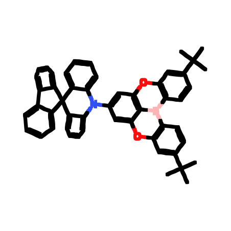 CC(C)(C)c1ccc2c(c1)Oc1cc(N3c4ccccc4C4(c5ccccc5-c5ccccc54)c4ccccc43)cc3c1B2c1ccc(C(C)(C)C)cc1O3